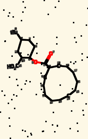 CC(C)(C)C1CCC(OC(=O)C2CCCCCCCCCCC2)C(C(=O)O)C1